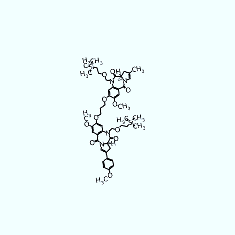 COc1ccc(C2=CN3C(=O)c4cc(OC)c(OCCCOc5cc6c(cc5OC)C(=O)N5C=C(C)C[C@H]5C(=O)N6COCC[Si](C)(C)C)cc4N(COCC[Si](C)(C)C)C(=O)[C@@H]3C2)cc1